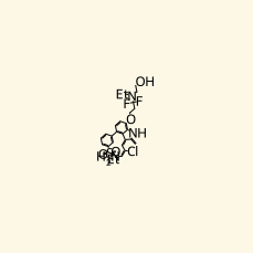 C=c1[nH]c2c(OCCC(F)(F)N(CC)CCO)ccc(-c3cccc(S(=O)(=O)CC)c3)c2/c1=C/C(Cl)=C\N